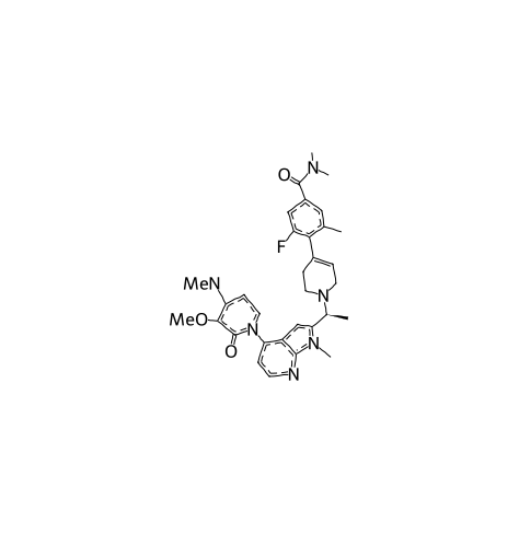 CNc1ccn(-c2ccnc3c2cc([C@H](C)N2CC=C(c4c(C)cc(C(=O)N(C)C)cc4F)CC2)n3C)c(=O)c1OC